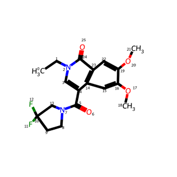 CCn1cc(C(=O)N2CCC(F)(F)C2)c2cc(OC)c(OC)cc2c1=O